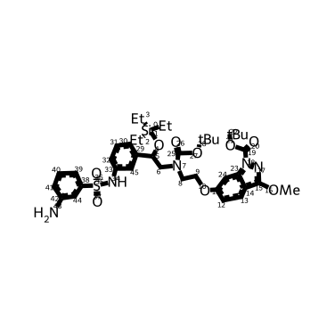 CC[Si](CC)(CC)OC(CN(CCOc1ccc2c(OC)nn(C(=O)OC(C)(C)C)c2c1)C(=O)OC(C)(C)C)c1cccc(NS(=O)(=O)c2cccc(N)c2)c1